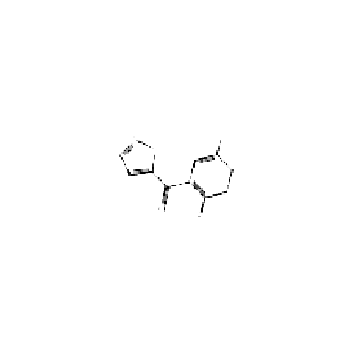 O=C(C1=C(F)CCC(I)=C1)c1ccns1